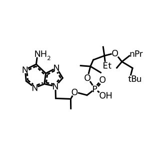 CCCC(C)(CC(C)(C)C)OC(C)(CC)CC(C)(C)OP(=O)(O)COC(C)Cn1cnc2c(N)ncnc21